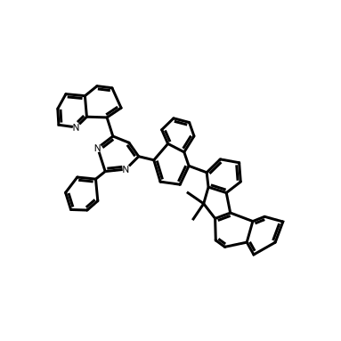 CC1(C)c2ccc3ccccc3c2-c2cccc(-c3ccc(-c4cc(-c5cccc6cccnc56)nc(-c5ccccc5)n4)c4ccccc34)c21